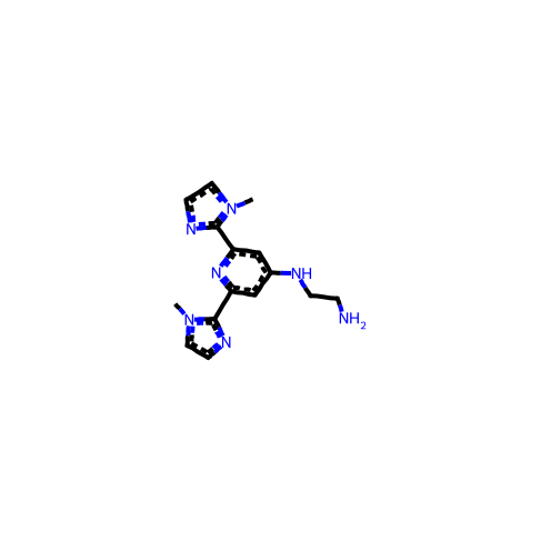 Cn1ccnc1-c1cc(NCCN)cc(-c2nccn2C)n1